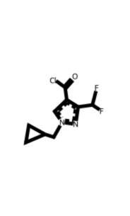 O=C(Cl)c1cn(CC2CC2)nc1C(F)F